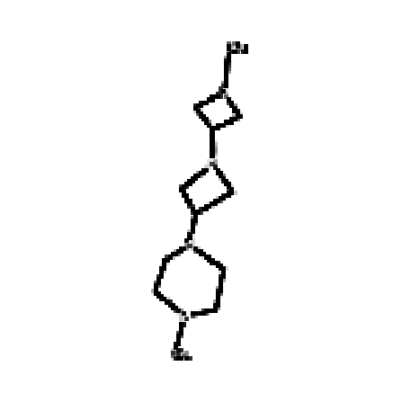 CC(C)(C)N1CCN(C2CN(C3CN(C(C)(C)C)C3)C2)CC1